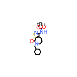 CC(C)(C)OC(=O)Nc1nsc2c1C=CCN(CC1CCCCC1)C2=O